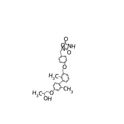 Cc1cc(OC[C@H](C)O)ccc1-c1cccc(COc2ccc(Cn3oc(=O)[nH]c3=O)cc2)c1C